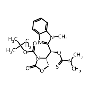 CN(C)C(=S)O[C@H](c1nc2ccccc2n1C)[C@@H]1COC(=O)N1C(=O)OC(C)(C)C